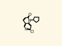 O=c1ccc2cnc(Cl)cc2n1C1CCCC1